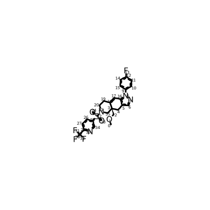 COC[C@]12Cc3cnn(-c4ccc(F)cc4)c3C=C1CCN(S(=O)(=O)c1ccc(C(F)(F)F)nc1)C2